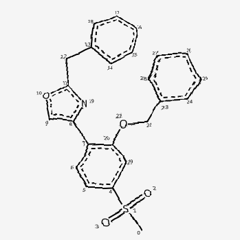 CS(=O)(=O)c1ccc(-c2coc(Cc3ccccc3)n2)c(OCc2ccccc2)c1